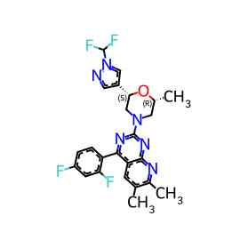 Cc1cc2c(-c3ccc(F)cc3F)nc(N3C[C@@H](C)O[C@@H](c4cnn(C(F)F)c4)C3)nc2nc1C